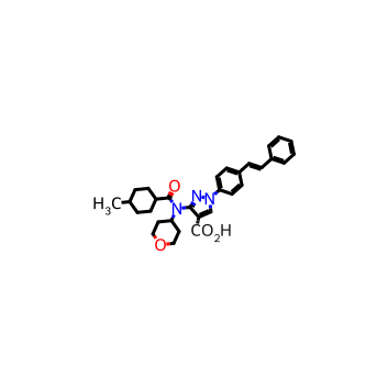 CC1CCC(C(=O)N(c2nn(-c3ccc(C=Cc4ccccc4)cc3)cc2C(=O)O)C2CCOCC2)CC1